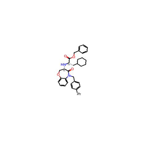 CC(C)c1ccc(CN2C(=O)[C@@H](N[C@@H](CC3CCCCC3)C(=O)OCc3ccccc3)COc3ccccc32)cc1